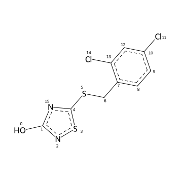 Oc1nsc(SCc2ccc(Cl)cc2Cl)n1